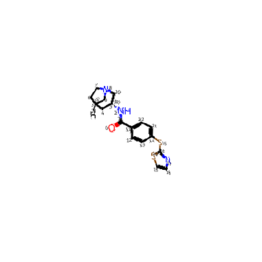 O=C(N[C@@H]1C[C@@H]2CCN(C2)C1)c1ccc(Sc2nccs2)cc1